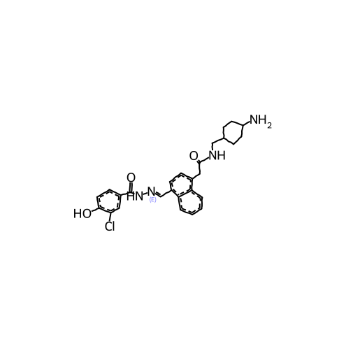 NC1CCC(CNC(=O)Cc2ccc(/C=N/NC(=O)c3ccc(O)c(Cl)c3)c3ccccc23)CC1